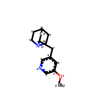 CC(C)(C)Oc1cncc(CC2CC3CCN2CC3)c1